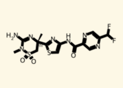 CN1C(N)=N[C@](C)(c2nc(NC(=O)c3cnc(C(F)F)cn3)cs2)CS1(=O)=O